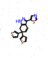 C1=CC(c2ccsc2)(c2ccsc2)Cc2[nH]nc(-c3cncs3)c21